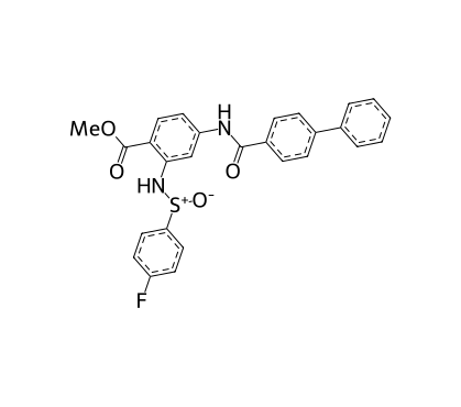 COC(=O)c1ccc(NC(=O)c2ccc(-c3ccccc3)cc2)cc1N[S+]([O-])c1ccc(F)cc1